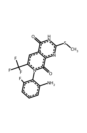 CSc1nc2c(=O)n(-c3c(N)cccc3F)c(C(F)(F)F)cc2c(=O)[nH]1